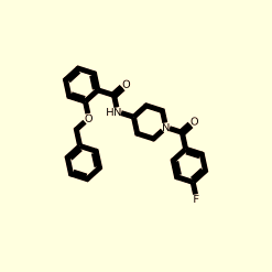 O=C(NC1CCN(C(=O)c2ccc(F)cc2)CC1)c1ccccc1OCc1ccccc1